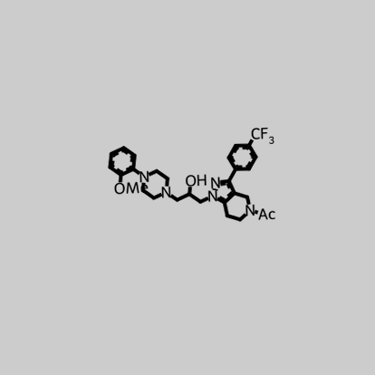 COc1ccccc1N1CCN(CC(O)Cn2nc(-c3ccc(C(F)(F)F)cc3)c3c2CCN(C(C)=O)C3)CC1